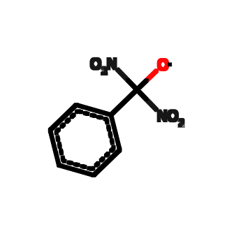 [O]C(c1ccccc1)([N+](=O)[O-])[N+](=O)[O-]